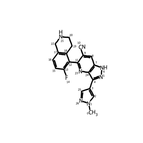 Cn1cc(-c2n[nH]c3cc(C#N)c(-c4c(F)ccc5c4CCNC5)nc23)cn1